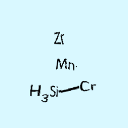 [Mn].[SiH3][Cr].[Zr]